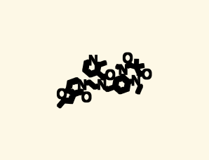 CCN1C(=O)C(C)(C)C(=O)N(C)c2cc(CN(CCn3ccc4oc(C)cc4c3=O)C(=O)c3cccnc3C)ccc21